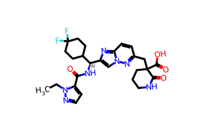 CCn1nccc1C(=O)N[C@H](c1cn2nc(CC3(C(=O)O)CCCNC3=O)ccc2n1)C1CCC(F)(F)CC1